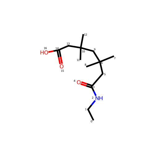 CCNC(=O)CC(C)(C)CC(C)(C)CC(=O)O